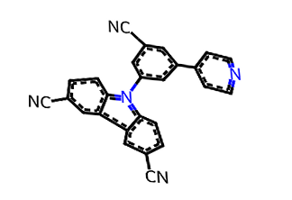 N#Cc1cc(-c2ccncc2)cc(-n2c3ccc(C#N)cc3c3cc(C#N)ccc32)c1